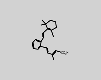 CC(C=Cc1ccccc1C=CC1=C(C)CCCC1(C)C)=CC(=O)O